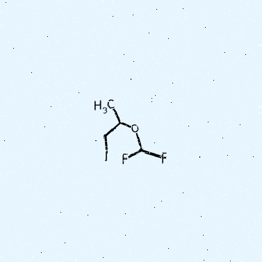 CC(CI)OC(F)F